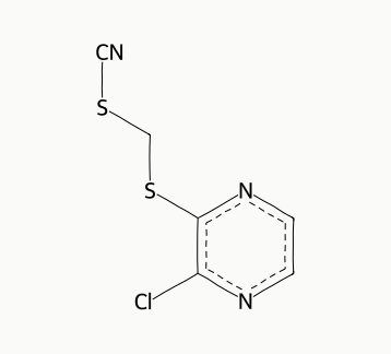 N#CSCSc1nccnc1Cl